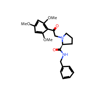 COc1cc(OC)c(C(=O)CN2CCC[C@H]2C(=O)NCc2ccccc2)c(OC)c1